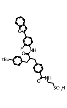 CC(C)(C)c1ccc(CC(Cc2ccc(C(=O)NCCS(=O)(=O)O)cc2)C(=O)Nc2ccc(-c3cc4ccccc4o3)cc2F)cc1